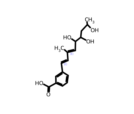 CC(/C=C/c1cccc(C(=O)O)c1)=C\C(O)C(O)CC(C)O